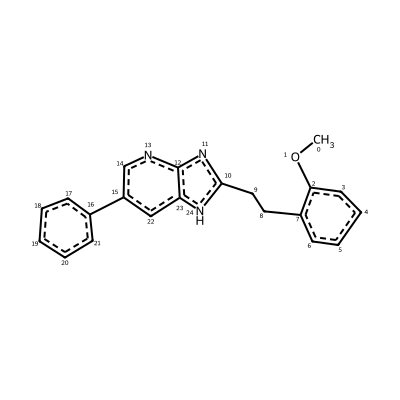 COc1ccccc1CCc1nc2ncc(-c3ccccc3)cc2[nH]1